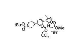 COC(=O)[C@H](CC(C)C)N(C(=O)OCC(Cl)(Cl)Cl)c1onc(C)c1-c1ccc(N2CCN(C(=O)OC(C)(C)C)CC2)cc1